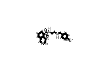 O=S(=O)(NCCNCc1ccc(Br)cc1)c1cccc2cnccc12